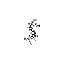 CC(C)(C)C(=O)c1c[nH]c2ncc(-c3ccc(C(=O)N(CCO)CCO)s3)nc12